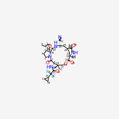 CC(C)[C@H]1CCN2C(=O)[C@@H](NC(=O)C(F)(F)C3CC3)C(C)(C)COC(=O)[C@@H]3C[C@@H](C[C@@H](C#N)NC(=O)[C@H]12)C(=O)N3